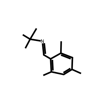 Cc1cc(C)c(/C=N/C(C)(C)C)c(C)c1